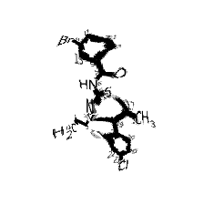 C=CCN1N=C(NC(=O)c2cccc(Br)c2)SC(C)=C1c1ccc(Cl)cc1